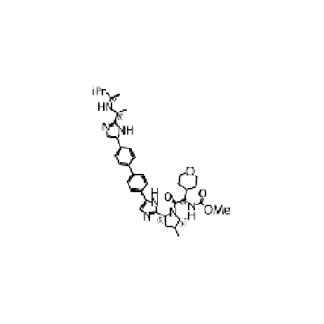 COC(=O)N[C@H](C(=O)N1[C@H](C)C(C)C[C@H]1c1ncc(-c2ccc(-c3ccc(-c4cnc([C@H](C)N[C@H](C)C(C)C)[nH]4)cc3)cc2)[nH]1)C1CCOCC1